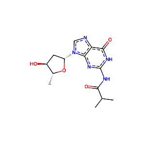 [CH2][C@H]1O[C@@H](n2cnc3c(=O)[nH]c(NC(=O)C(C)C)nc32)C[C@@H]1O